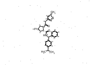 CC(C)c1ccc([C@@H](NC(=O)[C@@H]2C[C@@H](F)CN2C(=O)Cc2cn(C)nn2)c2ccccc2)cc1